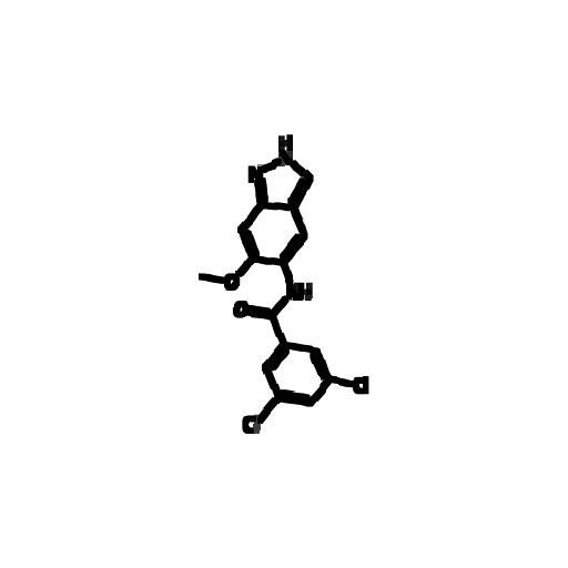 COc1cc2n[nH]cc2cc1NC(=O)c1cc(Cl)cc(Cl)c1